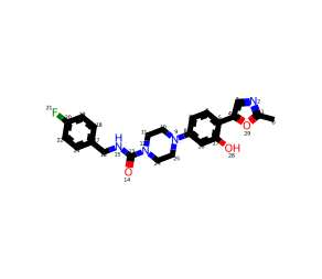 Cc1ncc(-c2ccc(N3CCN(C(=O)NCc4ccc(F)cc4)CC3)cc2O)o1